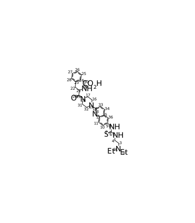 CCN(CC)CCNC(=S)Nc1ccc2nc(N3CCN(C(=O)C(Cc4ccccc4)NC(=O)O)CC3)ccc2c1